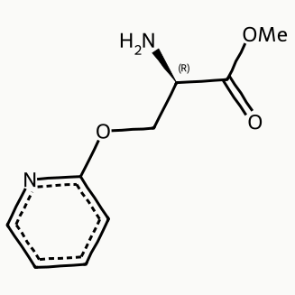 COC(=O)[C@H](N)COc1ccccn1